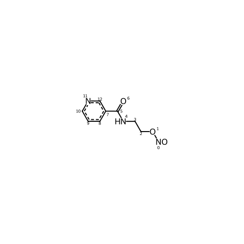 O=NOCCNC(=O)c1cccnc1